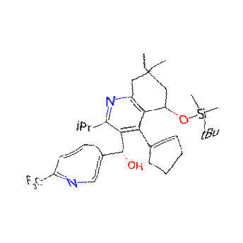 CC(C)c1nc2c(c(C3=CCCC3)c1[C@H](O)c1ccc(C(F)(F)F)nc1)C(O[Si](C)(C)C(C)(C)C)CC(C)(C)C2